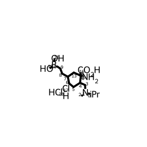 CC(C)N(C)CC1CCC(CCB(O)O)CC1(N)C(=O)O.Cl.Cl